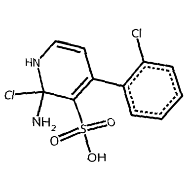 NC1(Cl)NC=CC(c2ccccc2Cl)=C1S(=O)(=O)O